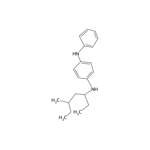 CCC(C)CC(CC)Nc1ccc(Nc2ccccc2)cc1